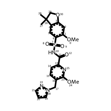 COc1cc2c(cc1S(=O)(=O)NC(=O)c1ccc(Cn3cccn3)c(OC)n1)C(C)(C)CO2